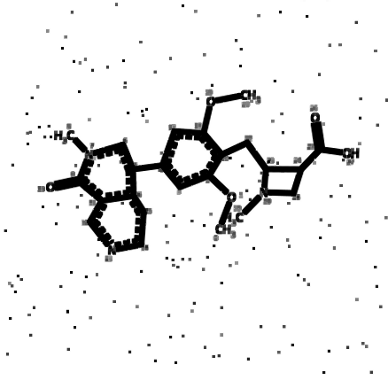 COc1cc(-c2cn(C)c(=O)c3cnccc23)cc(OC)c1CC1C(C(=O)O)CN1C